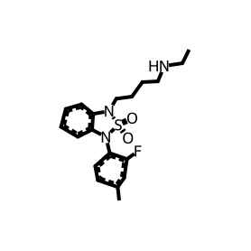 CCNCCCCN1c2ccccc2N(c2ccc(C)cc2F)S1(=O)=O